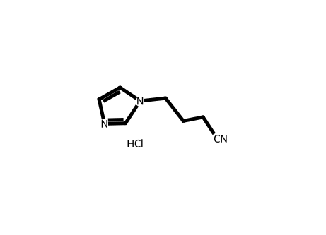 Cl.N#CCCCn1ccnc1